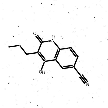 CCCc1c(O)c2cc(C#N)ccc2[nH]c1=O